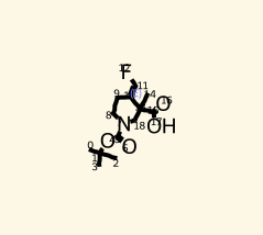 CC(C)(C)OC(=O)N1CC/C(=C\F)C(C)(C(=O)O)C1